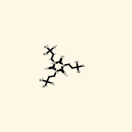 O=c1n(CCC(Br)(Br)Br)c(=O)n(CCC(Br)(Br)Br)c(=O)n1CCC(Br)(Br)Br